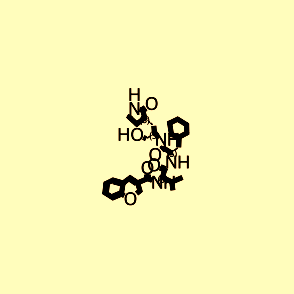 CC(C)[C@H](NC(=O)C1=Cc2ccccc2OC1)C(=O)N[C@@H](CC1CCCCC1)C(=O)N[C@H](CO)C[C@@H]1CCNC1=O